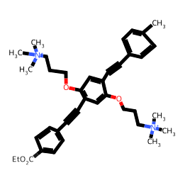 CCOC(=O)c1ccc(C#Cc2cc(OCCC[N+](C)(C)C)c(C#Cc3ccc(C)cc3)cc2OCCC[N+](C)(C)C)cc1